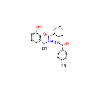 N#Cc1ccc(C(=O)NC2CCCCC2C(=O)NC(C#N)c2cccc(O)c2)cc1